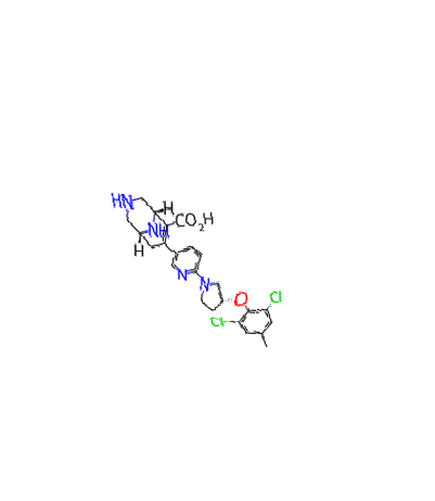 Cc1cc(Cl)c(O[C@@H]2CCN(c3ccc(C4=C(C(=O)O)[C@H]5CNC[C@@H](C4)N5)cn3)C2)c(Cl)c1